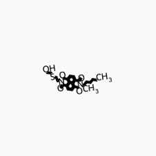 CCCCCC(C)N1C(=O)c2ccc3c4c(ccc(c24)C1=O)C(=O)N(CCSCCO)C3=O